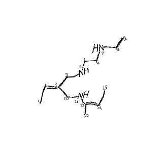 C/C=C(/CNCCNCC)CN/C(C)=C\C